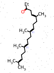 CCC(=O)CC=C(C)CC/C=C(\C)CC/C=C(\C)CCC=C(C)C